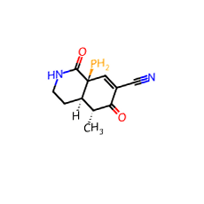 C[C@H]1C(=O)C(C#N)=C[C@@]2(P)C(=O)NCC[C@H]12